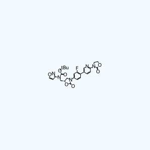 CC(C)(C)OC(=O)N(C[C@H]1CN(c2ccc(-c3ccc(N4CCOC4=O)nc3)c(F)c2)C(=O)O1)c1ccon1